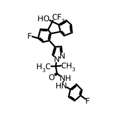 CC(C)(C(=O)NNc1ccc(F)cc1)n1cc(-c2cc(F)cc3c2-c2ccccc2C3(O)C(F)(F)F)cn1